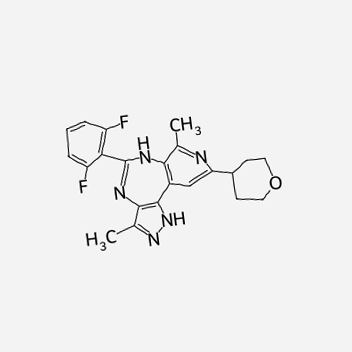 Cc1n[nH]c2c1N=C(c1c(F)cccc1F)Nc1c-2cc(C2CCOCC2)nc1C